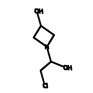 OC1CN(C(O)CCl)C1